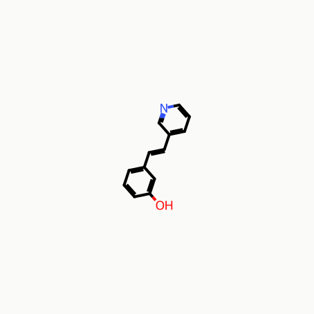 Oc1cccc(C=Cc2cccnc2)c1